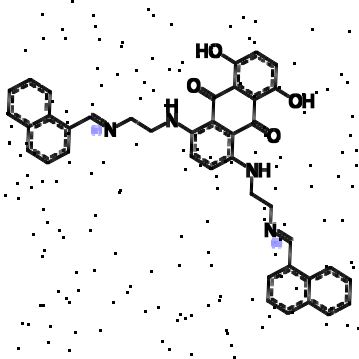 O=C1c2c(O)ccc(O)c2C(=O)c2c(NCC/N=C/c3cccc4ccccc34)ccc(NCC/N=C/c3cccc4ccccc34)c21